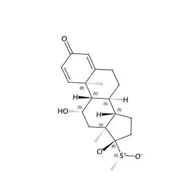 C[S@@+]([O-])[C@@]1(Cl)CC[C@H]2[C@@H]3CCC4=CC(=O)C=C[C@]4(C)[C@H]3[C@@H](O)C[C@@]21C